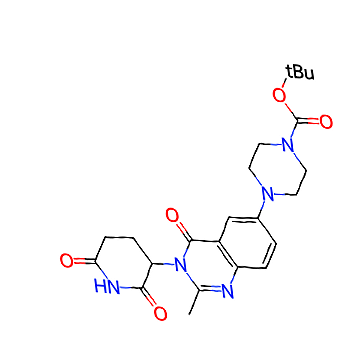 Cc1nc2ccc(N3CCN(C(=O)OC(C)(C)C)CC3)cc2c(=O)n1C1CCC(=O)NC1=O